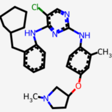 Cc1cc(OC2CCN(C)C2)ccc1Nc1ncc(Cl)c(Nc2ccccc2CC2CCCCC2)n1